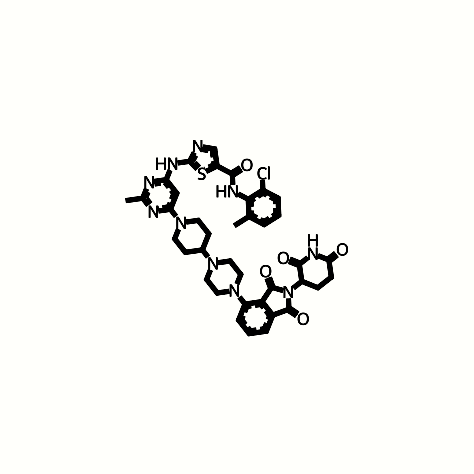 Cc1nc(Nc2ncc(C(=O)Nc3c(C)cccc3Cl)s2)cc(N2CCC(N3CCN(c4cccc5c4C(=O)N(C4CCC(=O)NC4=O)C5=O)CC3)CC2)n1